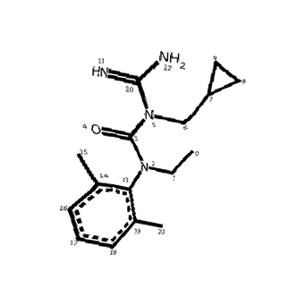 CCN(C(=O)N(CC1CC1)C(=N)N)c1c(C)cccc1C